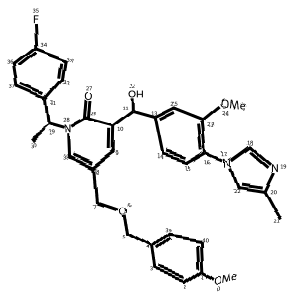 COc1ccc(COCc2cc(C(O)c3ccc(-n4cnc(C)c4)c(OC)c3)c(=O)n([C@@H](C)c3ccc(F)cc3)c2)cc1